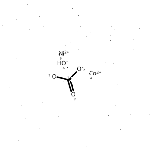 O=C([O-])[O-].[Co+2].[Ni+2].[OH-]